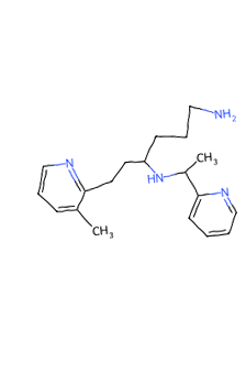 Cc1cccnc1CCC(CCCN)NC(C)c1ccccn1